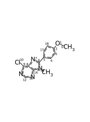 COc1ccc(-c2nc3c(Cl)ncnc3n2C)cc1